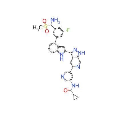 CS(=O)(=O)C(N)c1cc(F)cc(-c2cccc3[nH]c(-c4n[nH]c5cnc(-c6cncc(NC(=O)C7CC7)c6)cc45)cc23)c1